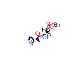 CC(C)(C)OC(=O)N1C[C@@H]2[C@@H](CCNC(=O)[C@H]3C[C@@H]3c3cccnc3)[C@@H]2C1